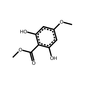 COC(=O)c1c(O)cc(OC)cc1O